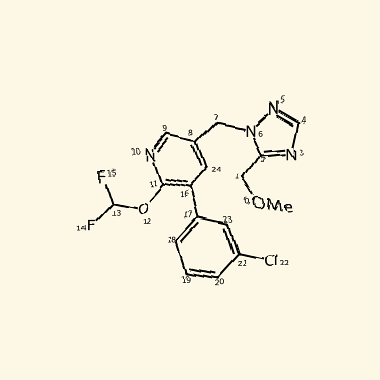 COCc1ncnn1Cc1cnc(OC(F)F)c(-c2cccc(Cl)c2)c1